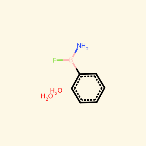 NB(F)c1ccccc1.O.O